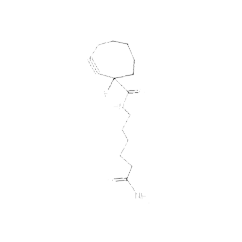 NC(=O)CCCCCNC(=O)C1(F)C#CCCCCC1